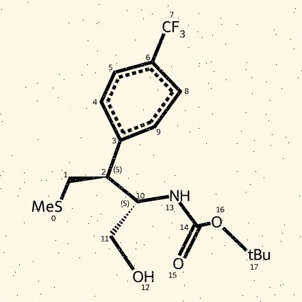 CSC[C@@H](c1ccc(C(F)(F)F)cc1)[C@@H](CO)NC(=O)OC(C)(C)C